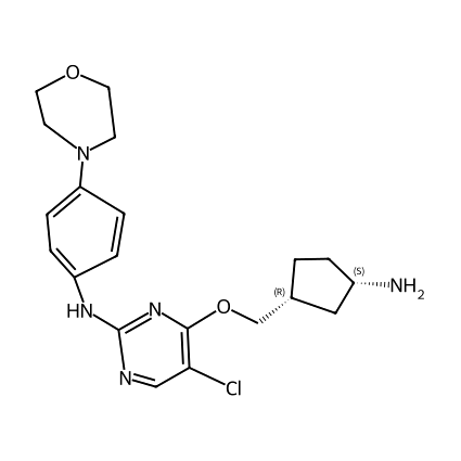 N[C@H]1CC[C@@H](COc2nc(Nc3ccc(N4CCOCC4)cc3)ncc2Cl)C1